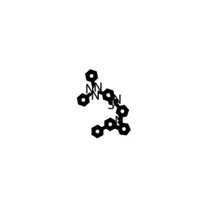 c1ccc(-c2ccc3c(c2)c2ccccc2n3-c2cccc(-c3nc4ccc(-c5nc(-c6ccccc6)nc(-c6ccccc6)n5)cc4s3)c2)cc1